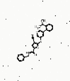 CC(C)c1ccccc1-c1cncc(Sc2sc(C(=O)NCc3ccccc3)cc2C#N)c1